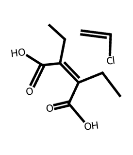 C=CCl.CC/C(C(=O)O)=C(\CC)C(=O)O